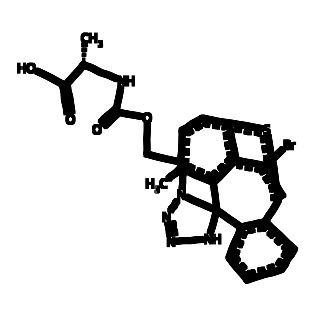 Cc1ccc2sc3c(Br)c2c1C1(NN=NN1CCOC(=O)N[C@@H](C)C(=O)O)c1ccccc1-3